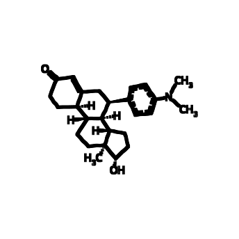 CN(C)c1ccc([C@@H]2CC3=CC(=O)CC[C@@H]3[C@H]3CC[C@]4(C)[C@@H](O)CC[C@H]4[C@@H]32)cc1